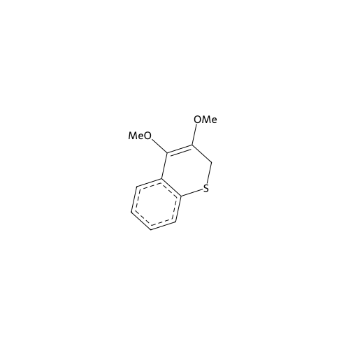 COC1=C(OC)c2ccccc2SC1